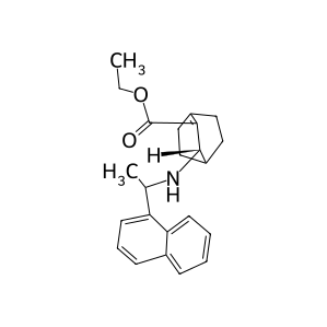 CCOC(=O)C1=C2CCC(CC2)[C@@H]1NC(C)c1cccc2ccccc12